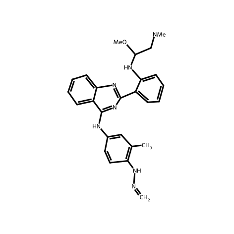 C=NNc1ccc(Nc2nc(-c3ccccc3NC(CNC)OC)nc3ccccc23)cc1C